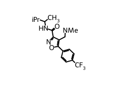 CNCc1c(C(=O)NC(C)C(C)C)noc1-c1ccc(C(F)(F)F)cc1